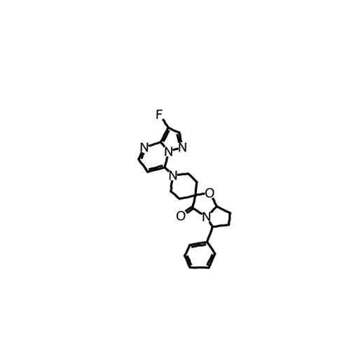 O=C1N2C(CCC2c2ccccc2)OC12CCN(c1ccnc3c(F)cnn13)CC2